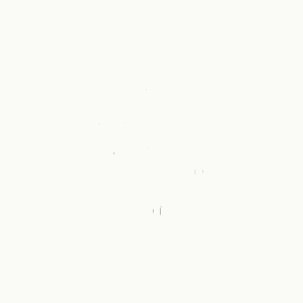 O=C(Cl)C12CC3C=C1CC(C3)C2